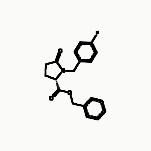 O=C(OCc1ccccc1)[C@@H]1CCC(=O)N1Cc1ccc(F)cc1